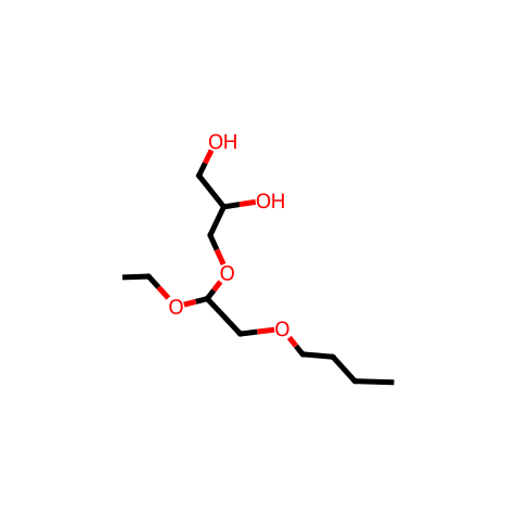 CCCCOCC(OCC)OCC(O)CO